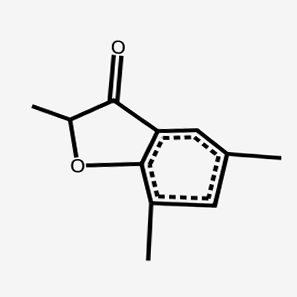 Cc1cc(C)c2c(c1)C(=O)C(C)O2